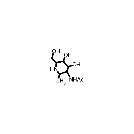 CC(=O)NC1C(C)NC(CO)C(O)C1O